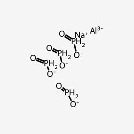 O=[PH2][O-].O=[PH2][O-].O=[PH2][O-].O=[PH2][O-].[Al+3].[Na+]